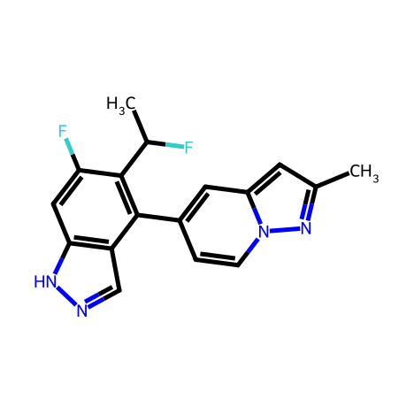 Cc1cc2cc(-c3c(C(C)F)c(F)cc4[nH]ncc34)ccn2n1